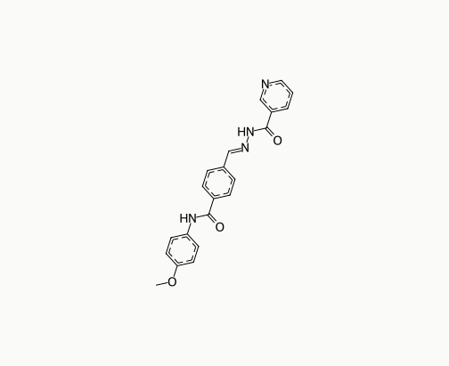 COc1ccc(NC(=O)c2ccc(/C=N/NC(=O)c3cccnc3)cc2)cc1